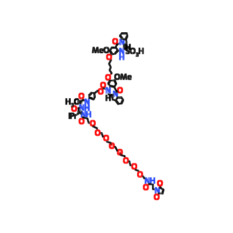 COc1cc2c(cc1OCCCCCOc1cc3c(cc1OC)C(=O)N1c4ccccc4C[C@H]1CN3C(=O)OCc1ccc(NC(=O)[C@H](C)NC(=O)[C@@H](NC(=O)CCOCCOCCOCCOCCOCCOCCOCCOCCNC(=O)CCN3C(=O)C=CC3=O)C(C)C)cc1)NC(S(=O)(=O)O)[C@@H]1Cc3ccccc3N1C2=O